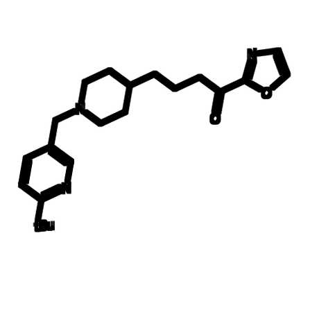 CC(C)(C)c1ccc(CN2CCC(CCCC(=O)c3ncco3)CC2)cn1